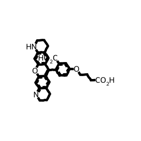 O=C(O)CCCOc1ccc(C2=c3cc4c(cc3Oc3cc5c(cc32)CCCN5)=NCCC4)c(C(=O)O)c1